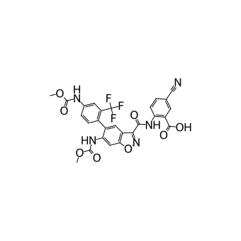 COC(=O)Nc1ccc(-c2cc3c(C(=O)Nc4ccc(C#N)cc4C(=O)O)noc3cc2NC(=O)OC)c(C(F)(F)F)c1